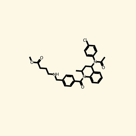 COC(=O)CCCNCc1ccc(C(=O)N2c3ccccc3C(N(C(C)=O)c3ccc(Cl)cc3)CC2C)cc1